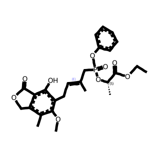 CCOC(=O)[C@H](C)OP(=O)(C/C(C)=C/Cc1c(O)c2c(c(C)c1OC)COC2=O)Oc1ccccc1